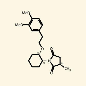 COc1ccc(CCO[C@H]2CCCC[C@H]2N2C(=O)C[C@@H](C)C2=O)cc1OC